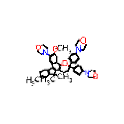 COc1cc2c3c(c4c(c2cc1N1CCOCC1)-c1ccc(C)cc1C4(C)C)C=CC(c1ccc(N2CCOCC2)cc1)(c1ccc(N2CCOCC2)cc1)O3